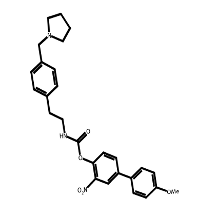 COc1ccc(-c2ccc(OC(=O)NCCc3ccc(CN4CCCC4)cc3)c([N+](=O)[O-])c2)cc1